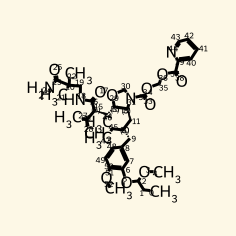 CCC(OC)Oc1cc(C[C@@H](C[C@H]2[C@H](C[C@H](C(=O)NCC(C)(C)C(N)=O)C(C)C)OCN2C(=O)OCOC(=O)c2ccccn2)C(C)C)ccc1OC